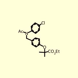 CCOC(=O)C(C)(C)Oc1ccc(CN(C(C)=O)c2ccc(Cl)cc2)cc1